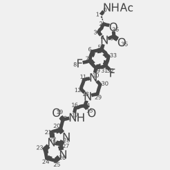 CC(=O)NC[C@H]1CN(c2cc(F)c(N3CCN(C(=O)CNC(=O)c4cn5cccnc5n4)CC3)c(F)c2)C(=O)O1